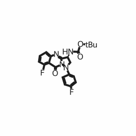 CC(C)(C)OC(=O)N[C@H]1CN(c2ccc(F)cc2)n2c1nc1cccc(F)c1c2=O